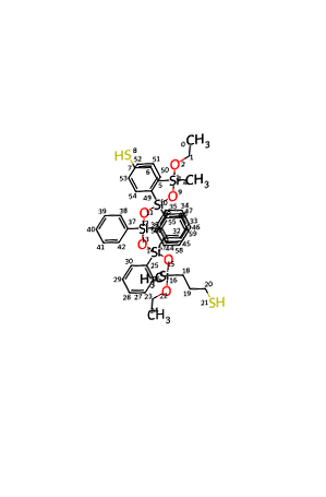 CCO[Si](C)(CCCS)O[Si](O[Si](O[Si](O[Si](C)(CCCS)OCC)(c1ccccc1)c1ccccc1)(c1ccccc1)c1ccccc1)(c1ccccc1)c1ccccc1